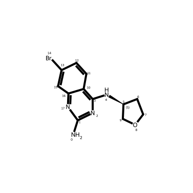 Nc1nc(N[C@H]2CCOC2)c2ccc(Br)cc2n1